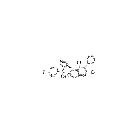 Cn1cncc1C(O)(c1ccc(F)nc1)c1ccc2nc(Cl)c(-c3ccccc3)c(Cl)c2c1